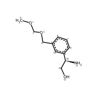 COCOCc1cccc([C@@H](N)CO)c1